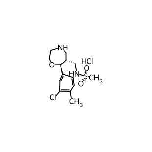 Cc1ccc([C@H]2OCCNC[C@@H]2CNS(C)(=O)=O)cc1Cl.Cl